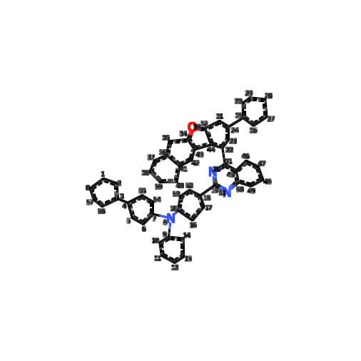 c1ccc(-c2ccc(N(c3ccccc3)c3ccc(-c4nc(-c5cc(-c6ccccc6)cc6oc7cc8ccccc8cc7c56)c5ccccc5n4)cc3)cc2)cc1